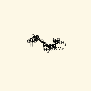 COc1cc(-c2cn(C)c(=O)c3cnccc23)cc(OC)c1CN(C)CC(O)NCCOCCOCCNc1cccc2c1C(=O)N(C1CCC(=O)NC1=O)C2=O